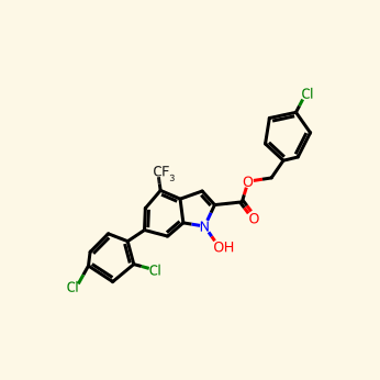 O=C(OCc1ccc(Cl)cc1)c1cc2c(C(F)(F)F)cc(-c3ccc(Cl)cc3Cl)cc2n1O